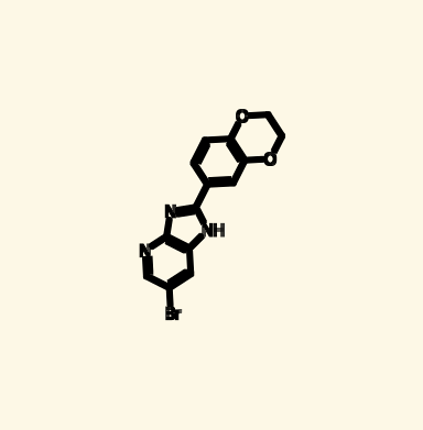 Brc1cnc2nc(-c3ccc4c(c3)OCCO4)[nH]c2c1